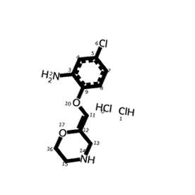 Cl.Cl.Nc1cc(Cl)ccc1O/C=C1/CNCCO1